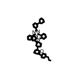 CCCc1ccc2c(c1)oc1c(-c3ccc4c(c3)c3ccccc3n4-c3ccccc3-c3nc(-c4ccccc4)nc(-c4cccc(-c5ccccc5)c4)n3)cccc12